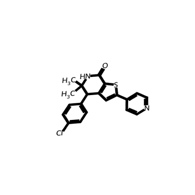 CC1(C)NC(=O)c2sc(-c3ccncc3)cc2C1c1ccc(Cl)cc1